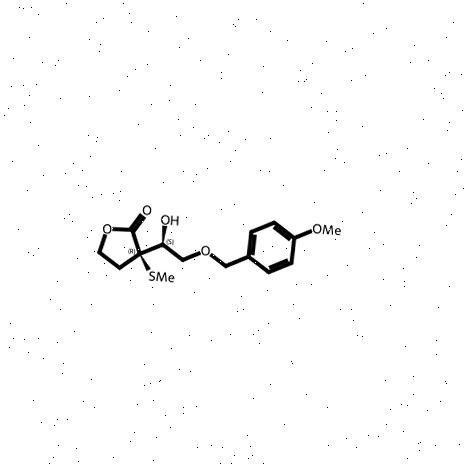 COc1ccc(COC[C@H](O)[C@]2(SC)CCOC2=O)cc1